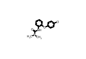 CN(C)C(=O)Nc1ccccc1Oc1ccc(Cl)cc1